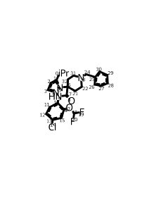 CC(C)c1ccnn1C1(C(=O)Nc2ccc(Cl)cc2OC(F)F)CCN(Cc2ccccc2)CC1